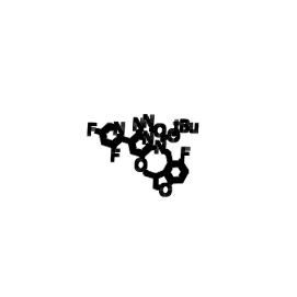 CC(C)(C)OC(=O)N1Cc2c(F)ccc3c2C(CO3)COc2cc(-c3ncc(F)cc3F)c3nncn3c21